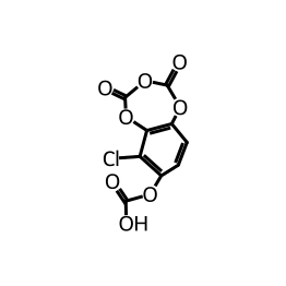 O=C(O)Oc1ccc2c(c1Cl)OC(=O)OC(=O)O2